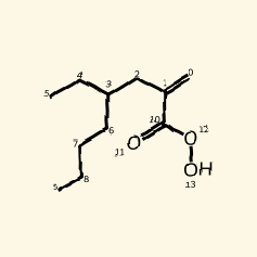 C=C(CC(CC)CCCC)C(=O)OO